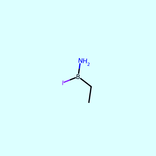 CCB(N)I